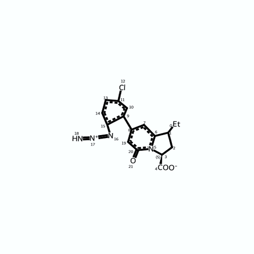 CCC1C[C@@H](C(=O)[O-])n2c1cc(-c1cc(Cl)ccc1N=[N+]=N)cc2=O